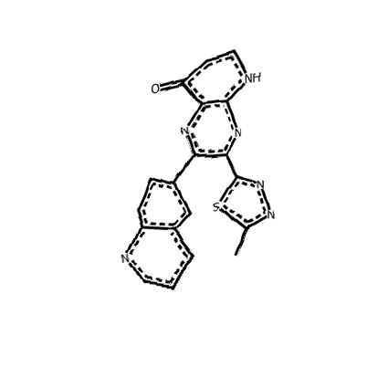 Cc1nnc(-c2nc3[nH]ccc(=O)c3nc2-c2ccc3ncccc3c2)s1